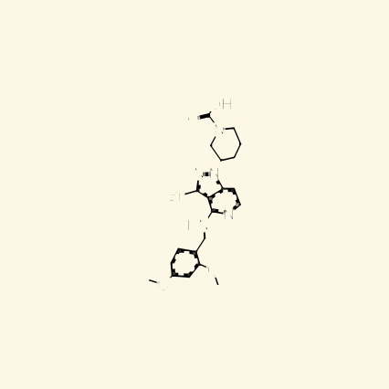 COc1ccc(CNc2nccc3c2c(Br)nn3[C@H]2CCCN(C(=O)O)C2)c(OC)c1